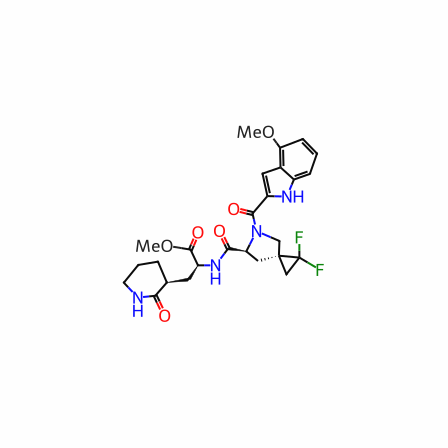 COC(=O)[C@H](C[C@@H]1CCCNC1=O)NC(=O)[C@@H]1C[C@@]2(CN1C(=O)c1cc3c(OC)cccc3[nH]1)CC2(F)F